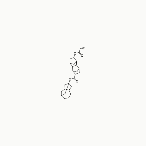 C=CC(=O)OC1CC2CC1C1C3CC(C(=O)OC45CC6CCCC(C4)C(C6)C5)C(C3)C21